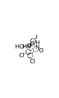 O=C1C[C@@H](C2C=CC=C(Cl)C2)[C@]2(C(=O)Nc3cc(Cl)ccc32)[C@@H](c2cc(I)ccc2OCCO)N1